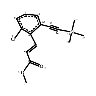 COC(=O)/C=C/c1c(Cl)cccc1C#C[Si](C)(C)C